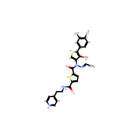 CC=NN(C(=O)c1ccc(C(=O)NCCc2ccncc2)s1)c1csc(-c2ccc(Cl)c(Cl)c2)c1O